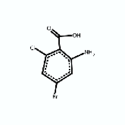 Nc1cc(Br)cc(Cl)c1C(=O)O